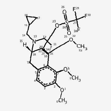 COc1ccc2c(c1OC)[C@@]13CCN(CC4CC4)[C@@H](C2)C1C=C(OS(=O)(=O)C(F)(F)F)C(OC)C3